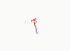 COC(OC)(OC)[SiH2]CCCOCCN(C)C